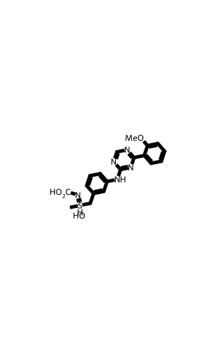 COc1ccccc1-c1ncnc(Nc2cccc(C[SH](C)(O)=NC(=O)O)c2)n1